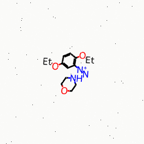 C1COCCN1.CCOc1ccc(OCC)c([N+]#N)c1